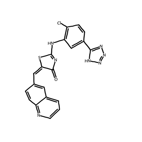 O=C1N=C(Nc2cc(-c3nnn[nH]3)ccc2Cl)SC1=Cc1ccc2ncccc2c1